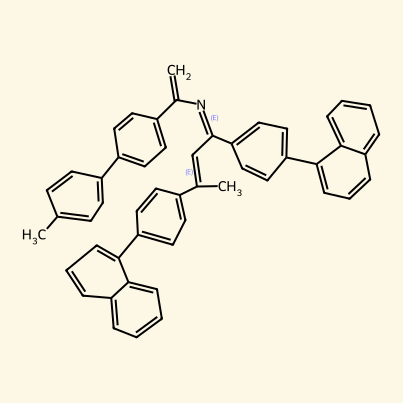 C=C(/N=C(\C=C(/C)c1ccc(-c2cccc3ccccc23)cc1)c1ccc(-c2cccc3ccccc23)cc1)c1ccc(-c2ccc(C)cc2)cc1